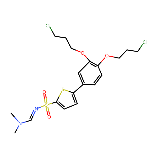 CN(C)C=NS(=O)(=O)c1ccc(-c2ccc(OCCCCl)c(OCCCCl)c2)s1